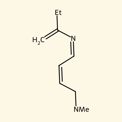 C=C(CC)/N=C\C=C/CNC